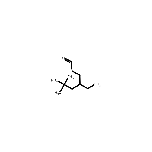 CCC(CO[C]=O)CC(C)(C)C